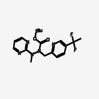 CN(c1ncccn1)N(Cc1ccc(C(C)(F)F)cn1)C(=O)OC(C)(C)C